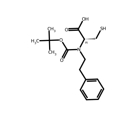 CC(C)(C)OC(=O)N(CCc1ccccc1)[C@@H](CS)C(=O)O